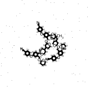 CC1(CC2CCOC(OCc3cc(Oc4ccc(C#N)cc4)ccc3B3OCCCO3)C2)COB(c2ccc(Oc3ccc(C#N)cc3)cc2COC2CC(C3CCOB(c4ccc(Oc5ccc(C#N)cc5)cc4COC4CCCCO4)OC3)CCO2)OC1